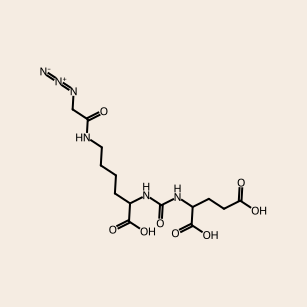 [N-]=[N+]=NCC(=O)NCCCCC(NC(=O)NC(CCC(=O)O)C(=O)O)C(=O)O